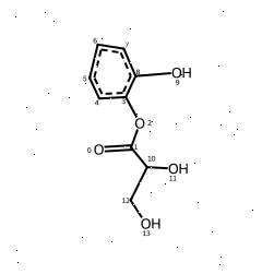 O=C(Oc1ccccc1O)C(O)CO